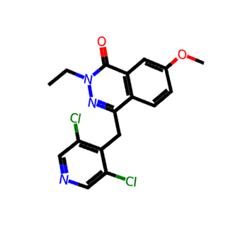 CCn1nc(Cc2c(Cl)cncc2Cl)c2ccc(OC)cc2c1=O